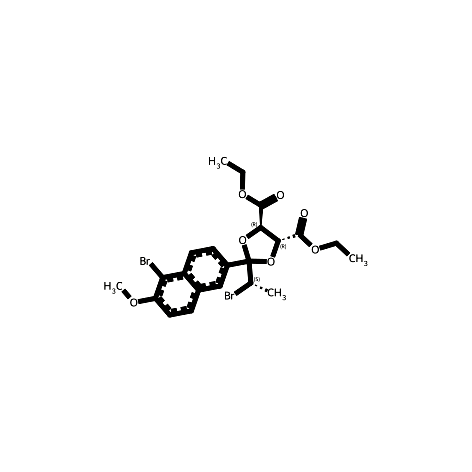 CCOC(=O)[C@@H]1OC(c2ccc3c(Br)c(OC)ccc3c2)([C@H](C)Br)O[C@H]1C(=O)OCC